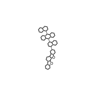 c1ccc2c(-c3c4ccccc4c(-c4ccc(-c5ccc6oc7c(ccc8c9ccccc9oc87)c6c5)c5ccccc45)c4ccccc34)cccc2c1